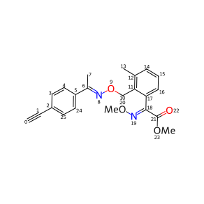 C#Cc1ccc(/C(C)=N/OCc2c(C)cccc2/C(=N\OC)C(=O)OC)cc1